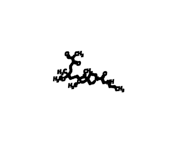 CCCNCC(=O)N1CCC(COC)(N(C)CCC[C@](C)(CCC(=O)C(C)C=O)OC)CC1